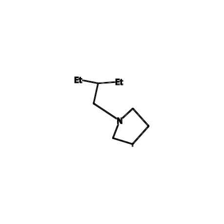 CCC(CC)CN1C[CH]CC1